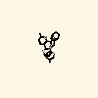 Cc1ccc(-c2ncccn2)c(C(=O)N2C3CCC2C(COc2ccc(F)cn2)C3)n1